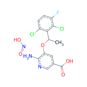 CC(Oc1cc(C(=O)O)cnc1N)c1c(Cl)ccc(F)c1Cl.O=NO